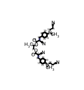 CC(COC(=O)/C(C#N)=C/c1ccc(N(C)CCC#N)cc1)OC(=O)/C(C#N)=C/c1ccc(N(C)CCC#N)cc1